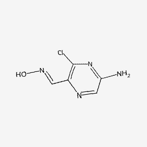 Nc1cnc(/C=N/O)c(Cl)n1